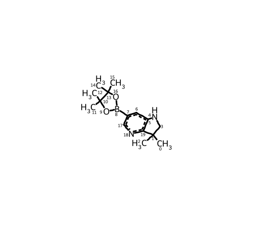 CC1(C)CNc2cc(B3OC(C)(C)C(C)(C)O3)cnc21